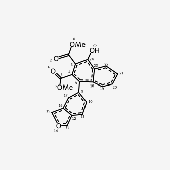 COC(=O)c1c(C(=O)OC)c(-c2ccc3cocc3c2)c2ccccc2c1O